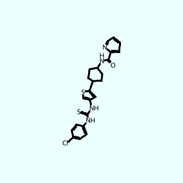 O=C(NC1CCC(c2cc(NC(=S)Nc3ccc(Cl)cc3)cs2)CC1)c1ccccn1